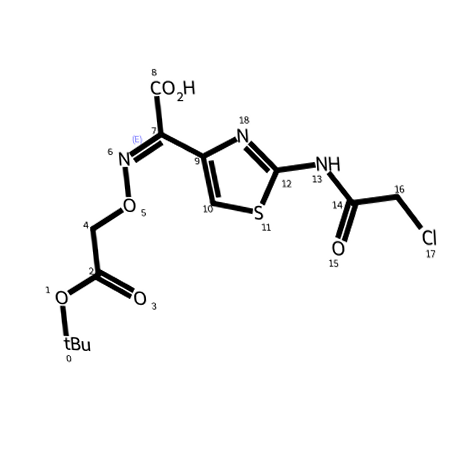 CC(C)(C)OC(=O)CO/N=C(/C(=O)O)c1csc(NC(=O)CCl)n1